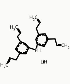 C=CCc1cc(CC=C)cc(Pc2cc(CC=C)cc(CC=C)c2)c1.[LiH]